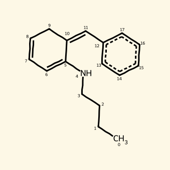 CCCCNC1=CC=CCC1=Cc1ccccc1